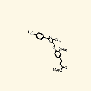 COC(=O)CCc1ccc(OCc2sc(-c3ccc(C(F)(F)F)cc3)nc2C)c(OC)c1